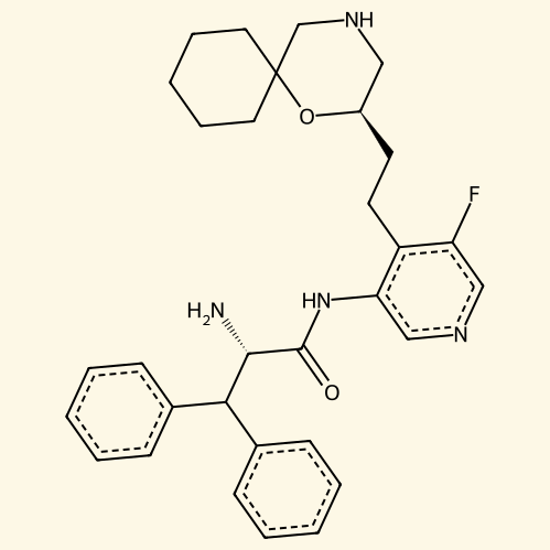 N[C@H](C(=O)Nc1cncc(F)c1CC[C@@H]1CNCC2(CCCCC2)O1)C(c1ccccc1)c1ccccc1